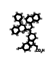 O=C(O)Cn1c2c(c3cc(F)ccc31)CC(N(Cc1cccc3ccccc13)C(=O)CC(c1ccccc1)c1ccccc1)CC2